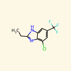 CCc1nc2c(Cl)cc(C(F)(F)F)cc2[nH]1